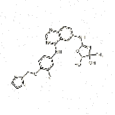 CC1(O)N=C(Nc2ccc3ncnc(Nc4ccc(OCc5nccs5)c(Cl)c4)c3c2)OC1O